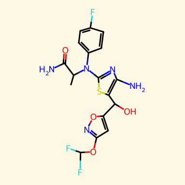 CC(C(N)=O)N(c1ccc(F)cc1)c1nc(N)c(C(O)c2cc(OC(F)F)no2)s1